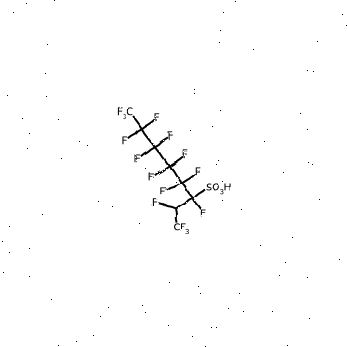 O=S(=O)(O)C(F)(C(F)C(F)(F)F)C(F)(F)C(F)(F)C(F)(F)C(F)(F)C(F)(F)F